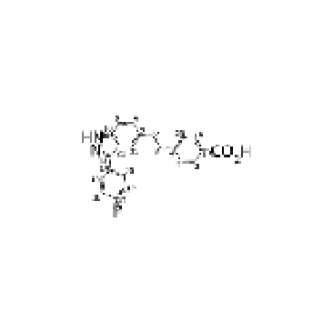 O=C(O)c1ccc(CCc2ccc3[nH]nc(-c4ccc(F)cc4)c3c2)cc1